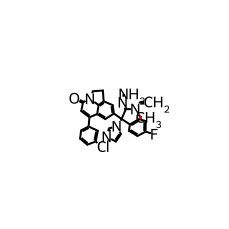 C=CN(C)/C(=N\N)C(c1ccc(F)cc1)(c1cc2c3c(c1)c(-c1cccc(Cl)c1)cc(=O)n3CC2)n1ccnc1